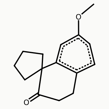 COc1ccc2c(c1)C1(CCCC1)C(=O)CC2